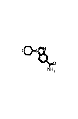 NC(=O)c1ccc2c(c1)ncn2C1CCOCC1